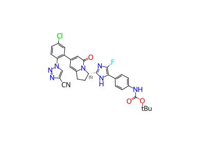 CC(C)(C)OC(=O)Nc1ccc(-c2[nH]c([C@@H]3CCc4cc(-c5cc(Cl)ccc5-n5cc(C#N)nn5)cc(=O)n43)nc2F)cc1